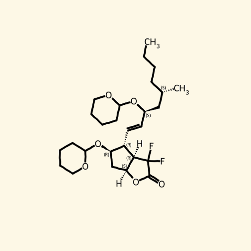 CCCC[C@H](C)C[C@@H](C=C[C@@H]1[C@@H]2[C@H](C[C@H]1OC1CCCCO1)OC(=O)C2(F)F)OC1CCCCO1